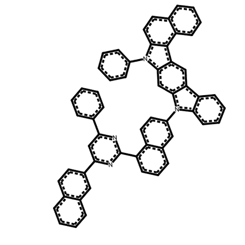 c1ccc(-c2cc(-c3ccc4ccccc4c3)nc(-c3cccc4cc(-n5c6ccccc6c6cc7c8c9ccccc9ccc8n(-c8ccccc8)c7cc65)ccc34)n2)cc1